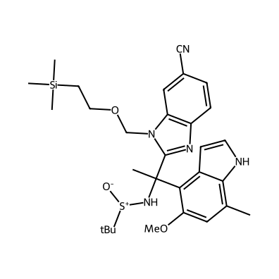 COc1cc(C)c2[nH]ccc2c1C(C)(N[S+]([O-])C(C)(C)C)c1nc2ccc(C#N)cc2n1COCC[Si](C)(C)C